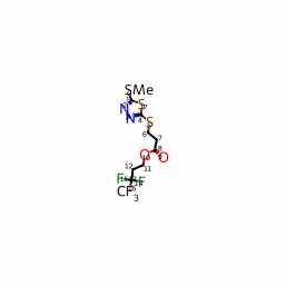 CSc1nnc(SCCC(=O)OCCC(F)(F)C(F)(F)F)s1